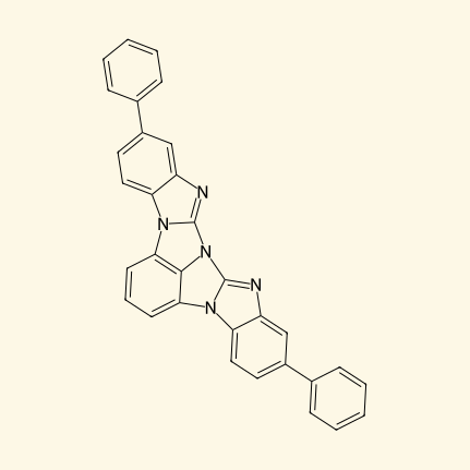 c1ccc(-c2ccc3c(c2)nc2n3c3cccc4c3n2c2nc3cc(-c5ccccc5)ccc3n42)cc1